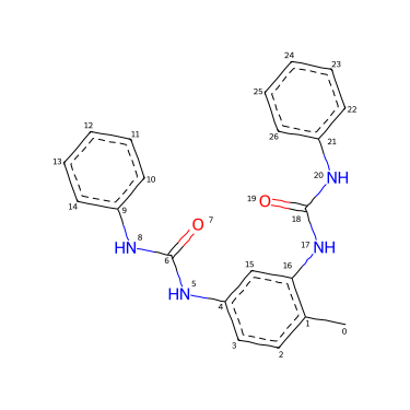 Cc1ccc(NC(=O)Nc2ccccc2)cc1NC(=O)Nc1ccccc1